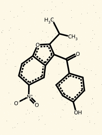 CC(C)c1oc2ccc([N+](=O)[O-])cc2c1C(=O)c1ccc(O)cc1